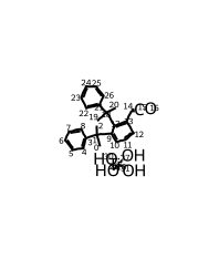 CC(C)(c1ccccc1)c1cccc(C=C=O)c1C(C)(C)c1ccccc1.[OH][Ti]([OH])([OH])[OH]